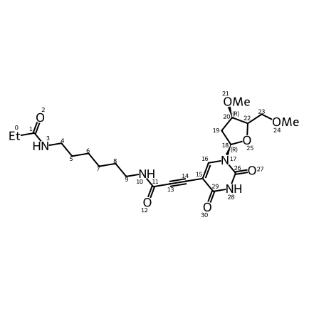 CCC(=O)NCCCCCCNC(=O)C#Cc1cn([C@H]2C[C@@H](OC)C(COC)O2)c(=O)[nH]c1=O